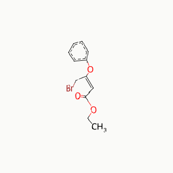 CCOC(=O)C=C(CBr)Oc1ccccc1